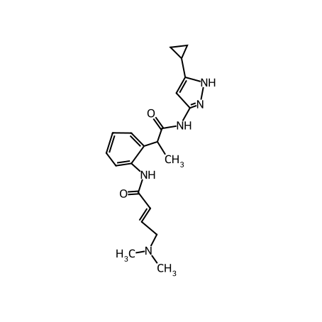 CC(C(=O)Nc1cc(C2CC2)[nH]n1)c1ccccc1NC(=O)/C=C/CN(C)C